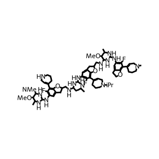 CNC1NC(Nc2cc3c(c(C4=CCNCCC4)c2F)OC(CNC2CC(C)NC(Nc4cc5c(c(C6=CCN(C(C)C)CCC6)c4F)OC(CNC4NC(Nc6cc7c(c(C8=CCN(C)CCC8)c6F)OCC7)NC(C)C4OC)C5)N2)C3)NC(C)C1OC